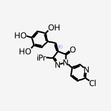 CC(C)C1=NN(c2ccc(Cl)nc2)C(=O)/C1=C/c1cc(O)c(O)cc1O